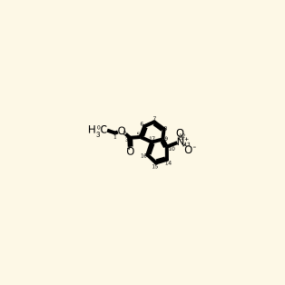 CCOC(=O)c1cccc2c([N+](=O)[O-])cccc12